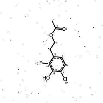 CC(=O)OCCc1ccc(Cl)c(O)c1F